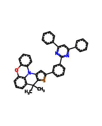 CC1(C)c2cccc3c2N(c2ccccc2O3)c2cc(-c3cccc(-c4nc(-c5ccccc5)cc(-c5ccccc5)n4)c3)sc21